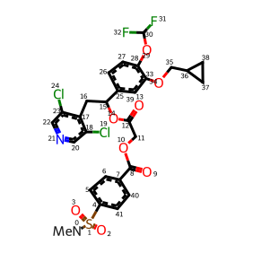 CNS(=O)(=O)c1ccc(C(=O)OCC(=O)OC(Cc2c(Cl)cncc2Cl)c2ccc(OC(F)F)c(OCC3CC3)c2)cc1